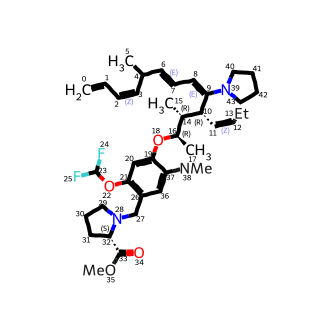 C=C/C=C\C(C)/C=C/C=C(\[C@H](/C=C\CC)[C@@H](C)[C@@H](C)Oc1cc(OC(F)F)c(CN2CCC[C@H]2C(=O)OC)cc1NC)N1CCCC1